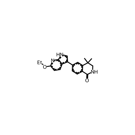 CCOc1ccc2c(-c3ccc4c(c3)C(C)(C)CNC4=O)c[nH]c2n1